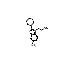 CC(=O)OCCn1c(C2CCCCC2)nc2cc(N)ccc21